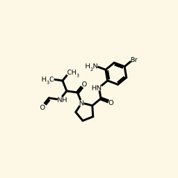 CC(C)C(NC=O)C(=O)N1CCCC1C(=O)Nc1ccc(Br)cc1N